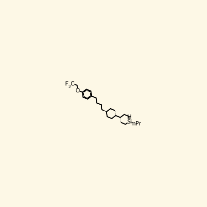 CCC[Si@H]1CC[C@H]([C@H]2CC[C@H](CCCCc3ccc(OCC(F)(F)F)cc3)CC2)CC1